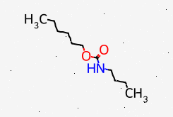 CCCCCCOC(=O)NCCCC